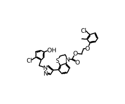 Cc1c(Cl)cccc1OCCOC(=O)N1CCSc2c(-c3cnn(Cc4cc(O)ccc4Cl)c3)cccc21